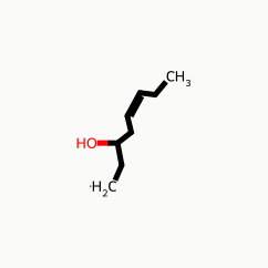 [CH2]CC(O)C/C=C\CC